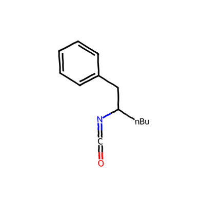 CCCCC(Cc1ccccc1)N=C=O